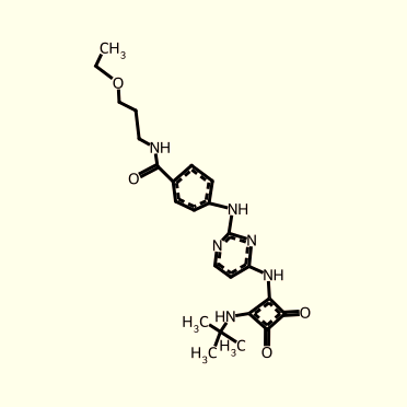 CCOCCCNC(=O)c1ccc(Nc2nccc(Nc3c(NC(C)(C)C)c(=O)c3=O)n2)cc1